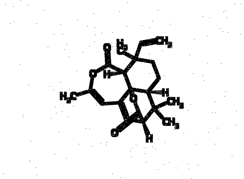 C=CC1(C)CC[C@H]2C(C)(C)[C@@H]3C=C4C=C(C)OC(=O)[C@@H]1[C@@]42OC3=O